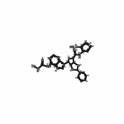 CCNC(=O)Nc1ncnc2c1ncn2C1OC(C(=O)Nc2ccccc2C(=O)O)C2O[C@@H](c3ccccc3)OC21